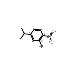 CC(C)c1ccc([N+](=O)[O-])c(F)c1